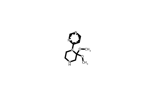 COC1(OC)CNCCN1c1ccncn1